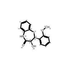 COc1ccccc1[C@@H]1Sc2ccccc2NC(=O)[C@@H]1O